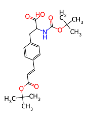 CC(C)(C)OC(=O)C=Cc1ccc(CC(NC(=O)OC(C)(C)C)C(=O)O)cc1